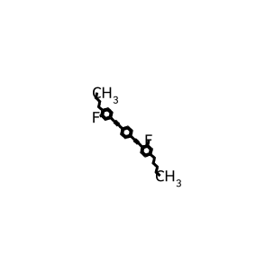 CCCCCc1ccc(C#Cc2ccc(C#Cc3ccc(CCCC)c(F)c3)cc2)c(F)c1